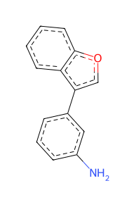 Nc1cccc(-c2coc3ccccc23)c1